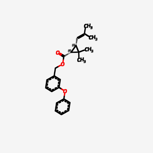 CC(C)=C[C@H]1[C@@H](C(=O)OCc2cccc(Oc3ccccc3)c2)C1(C)C